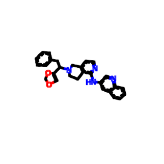 C1=C(C(Cc2ccccc2)N2CCc3c(ccnc3Nc3cnc4ccccc4c3)C2)OCO1